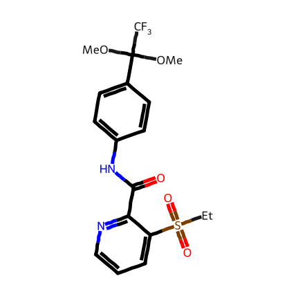 CCS(=O)(=O)c1cccnc1C(=O)Nc1ccc(C(OC)(OC)C(F)(F)F)cc1